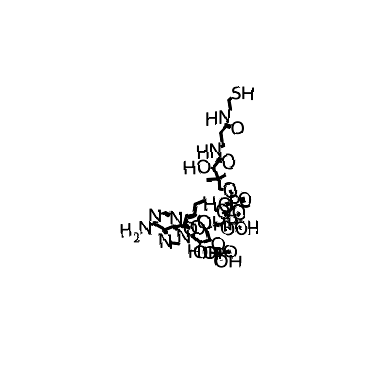 CCC(O)=CC(=O)C12N=CN=C(N)C1=NCN2[C@@H]1O[C@H](COP(=O)(O)OP(=O)(O)OCC(C)(C)[C@@H](O)C(=O)NCCC(=O)NCCS)[C@@H](OP(=O)(O)O)[C@H]1O